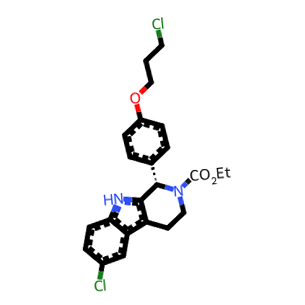 CCOC(=O)N1CCc2c([nH]c3ccc(Cl)cc23)[C@@H]1c1ccc(OCCCCl)cc1